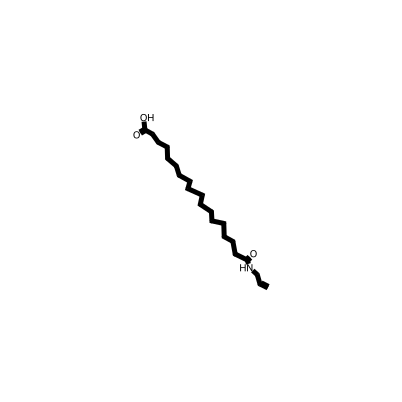 C=CCNC(=O)CCCCCCCCCCCCCCCCC(=O)O